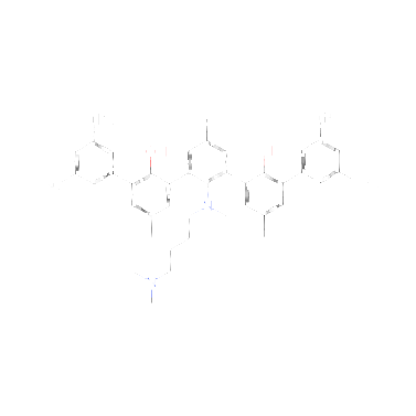 Cc1cc(-c2cc(C(C)(C)C)cc(C(C)(C)C)c2)c(O)c(-c2cc(C)cc(-c3cc(C)cc(-c4cc(C(C)(C)C)cc(C(C)(C)C)c4)c3O)c2N(C)CCCCN(C)C)c1